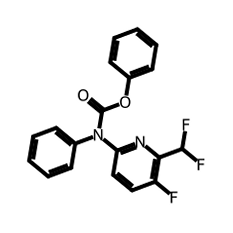 O=C(Oc1ccccc1)N(c1ccccc1)c1ccc(F)c(C(F)F)n1